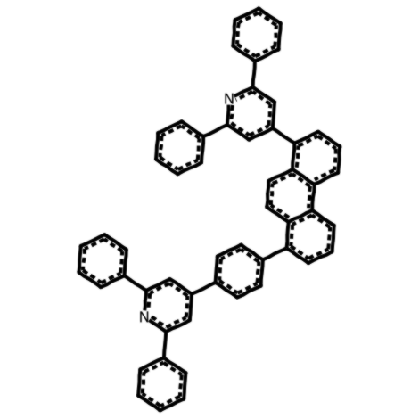 c1ccc(-c2cc(-c3ccc(-c4cccc5c4ccc4c(-c6cc(-c7ccccc7)nc(-c7ccccc7)c6)cccc45)cc3)cc(-c3ccccc3)n2)cc1